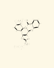 CCOC(=O)Nc1ncc(-c2nc3ccccc3c(=O)n2-c2ccccc2OC)s1